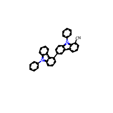 N#Cc1cccc2c3cc(-c4cccc5c4c4ccccc4n5-c4ccccc4)ccc3n(-c3ccccc3)c12